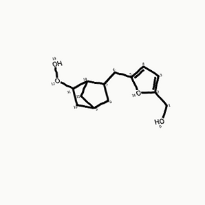 OCc1ccc(CC2CC3CC(OO)C2C3)o1